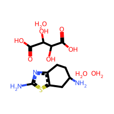 Nc1nc2c(s1)CC(N)CC2.O.O.O.O=C(O)C(O)C(O)C(=O)O